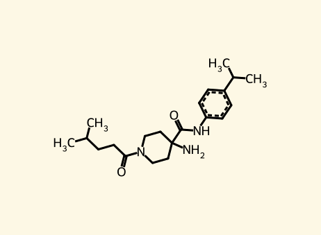 CC(C)CCC(=O)N1CCC(N)(C(=O)Nc2ccc(C(C)C)cc2)CC1